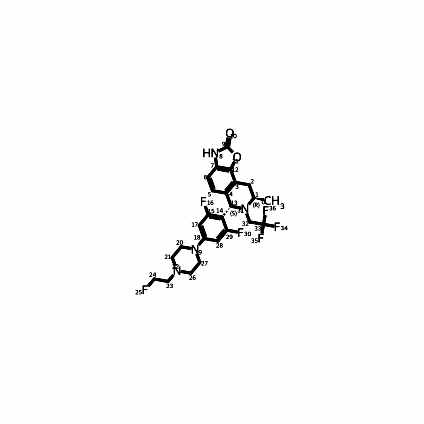 C[C@@H]1Cc2c(ccc3[nH]c(=O)oc23)[C@@H](c2c(F)cc(N3CCN(CCF)CC3)cc2F)N1CC(F)(F)F